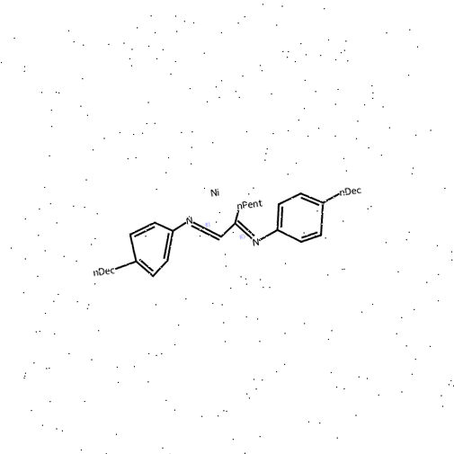 CCCCCCCCCCc1ccc(/N=C/C(CCCCC)=N/c2ccc(CCCCCCCCCC)cc2)cc1.[Ni]